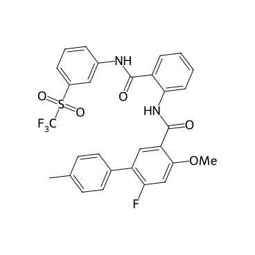 COc1cc(F)c(-c2ccc(C)cc2)cc1C(=O)Nc1ccccc1C(=O)Nc1cccc(S(=O)(=O)C(F)(F)F)c1